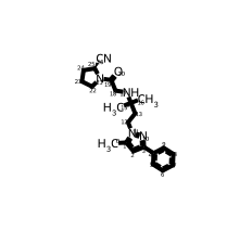 Cc1cc(-c2ccccc2)nn1CCC(C)(C)NCC(=O)N1CCC[C@H]1C#N